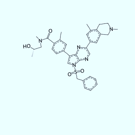 Cc1cc(-c2cn(S(=O)(=O)Cc3ccccc3)c3ncc(-c4cc(C)c5c(c4)CN(C)CC5)nc23)ccc1C(=O)N(C)C[C@H](C)O